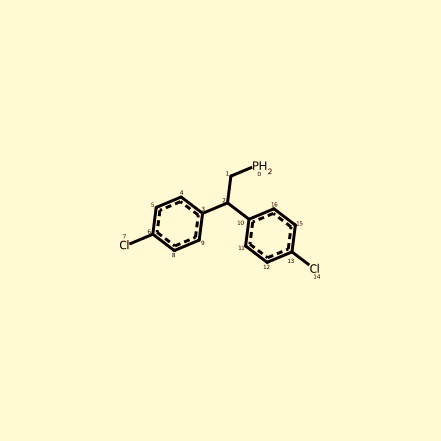 PCC(c1ccc(Cl)cc1)c1ccc(Cl)cc1